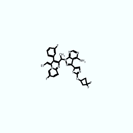 CC/C=C1/C(c2cccc(F)c2)=C(C(C)n2nc(-c3cnc(OC4CC(F)(F)C4)s3)c3c(N)ncnc32)N=C2C=CC(F)=CN21